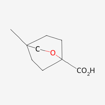 CC12CCC(C(=O)O)(CC1)OC2